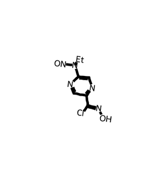 CCN(N=O)c1cnc(/C(Cl)=N/O)cn1